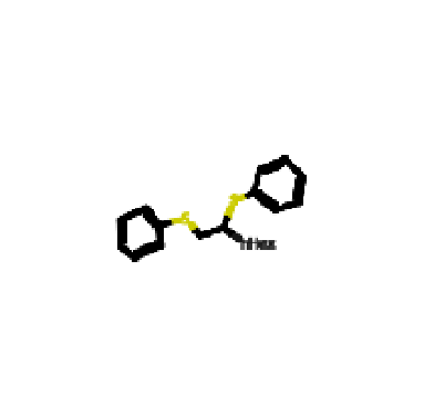 CCCCCCC(CSc1ccccc1)Sc1ccccc1